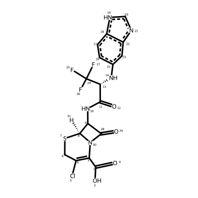 O=C(O)C1=C(Cl)CS[C@H]2C(NC(=O)[C@@H](Nc3ccc4[nH]cnc4c3)C(F)(F)F)C(=O)N12